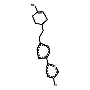 CC(C)(C)C1=CCC(CCc2ccc(-c3ncc(C(C)(C)C)cn3)cc2)CC1